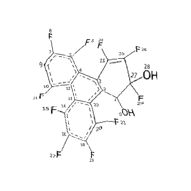 OC1c2c(c3c(F)c(F)cc(F)c3c3c(F)c(F)c(F)c(F)c23)C(F)=C(F)C1(O)F